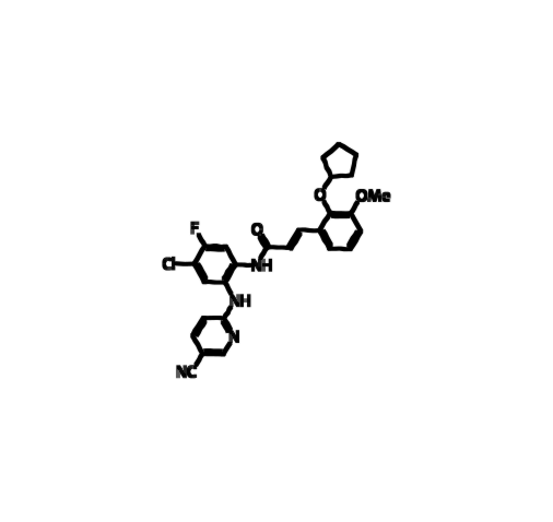 COc1cccc(/C=C/C(=O)Nc2cc(F)c(Cl)cc2Nc2ccc(C#N)cn2)c1OC1CCCC1